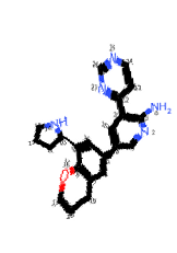 Nc1ncc(-c2cc3c(c([C@H]4CCCN4)c2)OCCC3)cc1-c1ccncn1